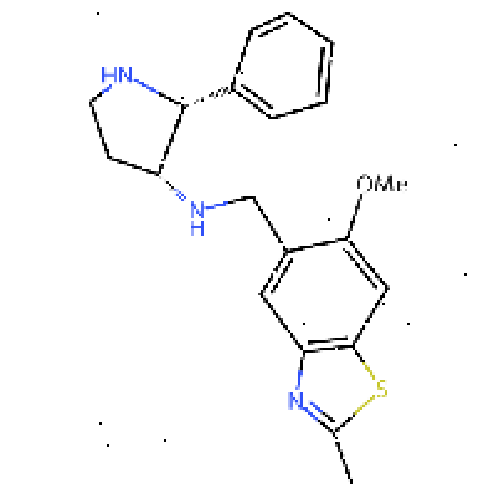 COc1cc2sc(C)nc2cc1CN[C@@H]1CCN[C@@H]1c1ccccc1